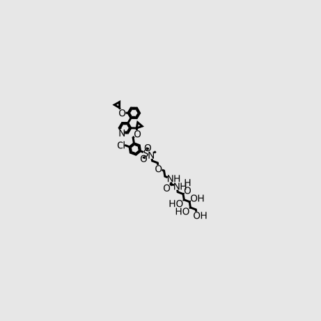 CN(CCOCCNC(=O)NC[C@H](O)[C@@H](O)[C@H](O)[C@H](O)CO)S(=O)(=O)c1ccc(Cl)c(COC2(c3cnccc3-c3ccccc3OC3CC3)CC2)c1